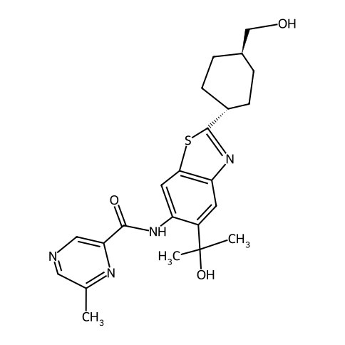 Cc1cncc(C(=O)Nc2cc3sc([C@H]4CC[C@H](CO)CC4)nc3cc2C(C)(C)O)n1